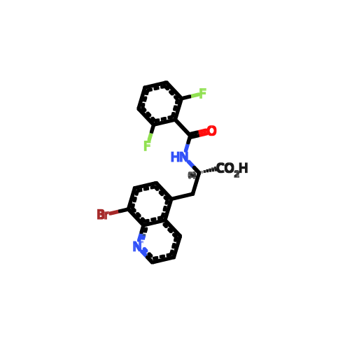 O=C(N[C@@H](Cc1ccc(Br)c2ncccc12)C(=O)O)c1c(F)cccc1F